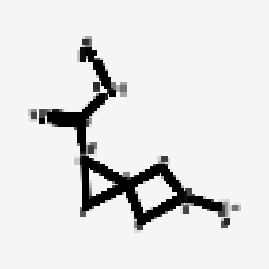 CC(C)NC(=O)[C@@H]1CC12CN(C(C)C)C2